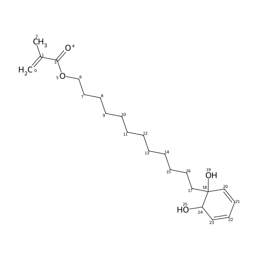 C=C(C)C(=O)OCCCCCCCCCCCCC1(O)C=CC=CC1O